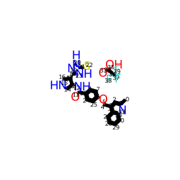 Cc1cc(COc2ccc(C(=O)N[C@@H]3CNC[C@H]3c3n[nH]c(=S)[nH]3)cc2)c2ccccc2n1.O=C(O)C(F)(F)F